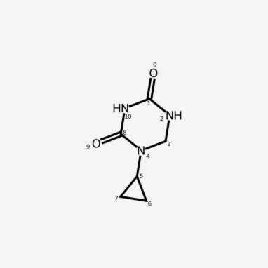 O=C1NCN(C2CC2)C(=O)N1